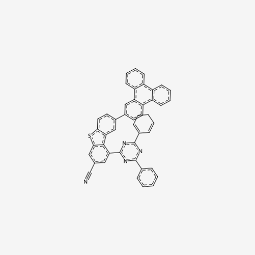 N#Cc1cc(-c2nc(C3=CCCC=C3)nc(-c3ccccc3)n2)c2c(c1)sc1ccc(-c3ccc4c5ccccc5c5ccccc5c4c3)cc12